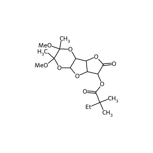 CCC(C)(C)C(=O)OC1C(=O)OC2C3OC(C)(OC)C(C)(OC)OC3OC12